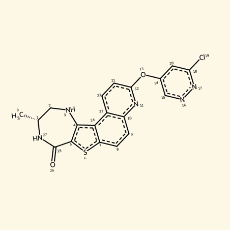 C[C@@H]1CNc2c(sc3ccc4nc(Oc5cnnc(Cl)c5)ccc4c23)C(=O)N1